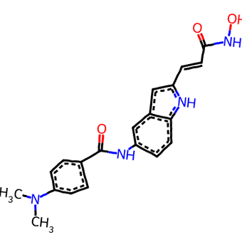 CN(C)c1ccc(C(=O)Nc2ccc3[nH]c(C=CC(=O)NO)cc3c2)cc1